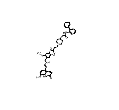 COc1cc(NC(=O)CCN2CCC(OC(=O)Nc3ccccc3-c3ccccc3)CC2)c(Cl)cc1CNCCc1ccc(O)c2[nH]c(=O)ccc12